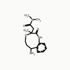 CN(C)C(=O)CC1(C)OCCC(N)c2ccccc2NC1=O